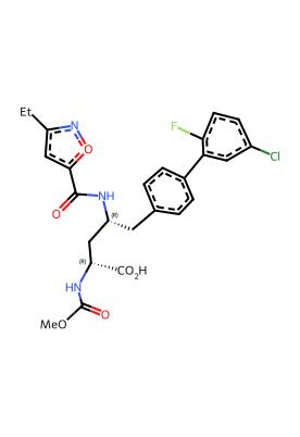 CCc1cc(C(=O)N[C@H](Cc2ccc(-c3cc(Cl)ccc3F)cc2)C[C@@H](NC(=O)OC)C(=O)O)on1